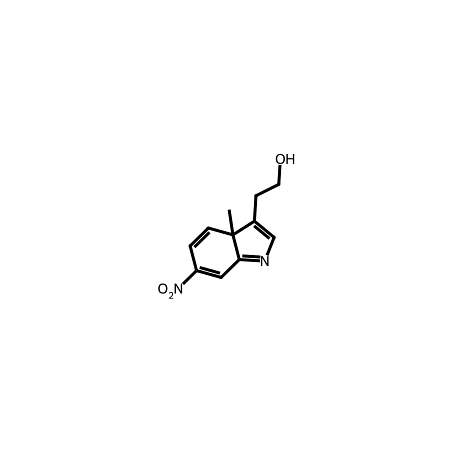 CC12C=CC([N+](=O)[O-])=CC1=NC=C2CCO